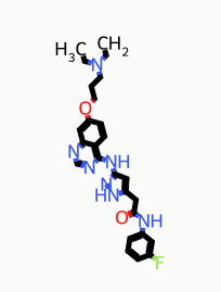 [CH2]CN(CC)CCCOc1ccc2c(Nc3cc(CC(=O)Nc4cccc(F)c4)[nH]n3)ncnc2c1